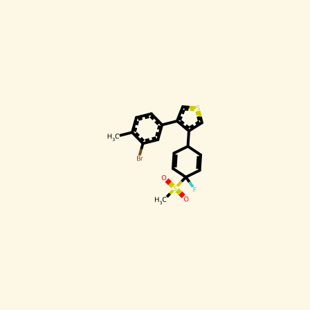 Cc1ccc(-c2cscc2C2C=CC(F)(S(C)(=O)=O)C=C2)cc1Br